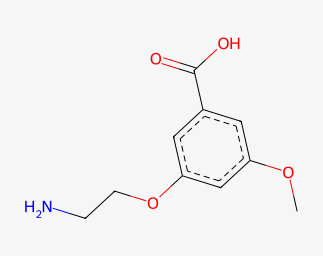 COc1cc(OCCN)cc(C(=O)O)c1